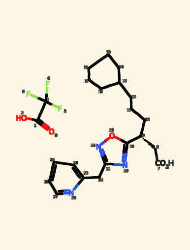 O=C(O)C(F)(F)F.O=C(O)C[C@@H](CCCC1CCCCC1)c1nc(Cc2ccccn2)no1